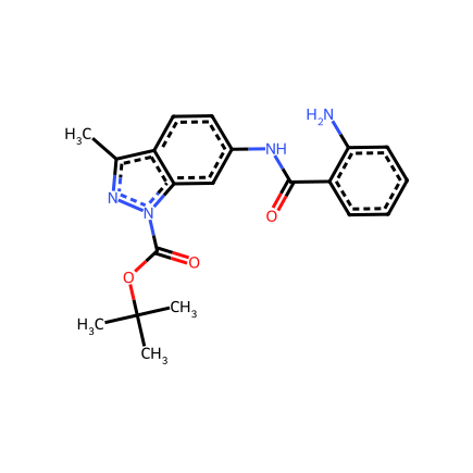 Cc1nn(C(=O)OC(C)(C)C)c2cc(NC(=O)c3ccccc3N)ccc12